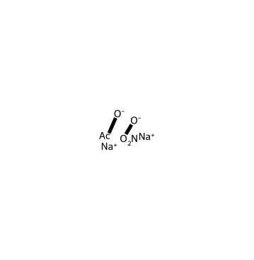 CC(=O)[O-].O=[N+]([O-])[O-].[Na+].[Na+]